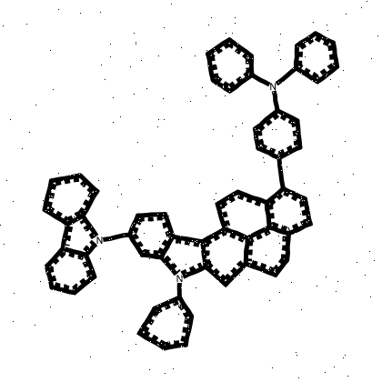 c1ccc(N(c2ccccc2)c2ccc(-c3ccc4ccc5cc6c(c7ccc3c4c57)c3ccc(-n4c5ccccc5c5ccccc54)cc3n6-c3ccccc3)cc2)cc1